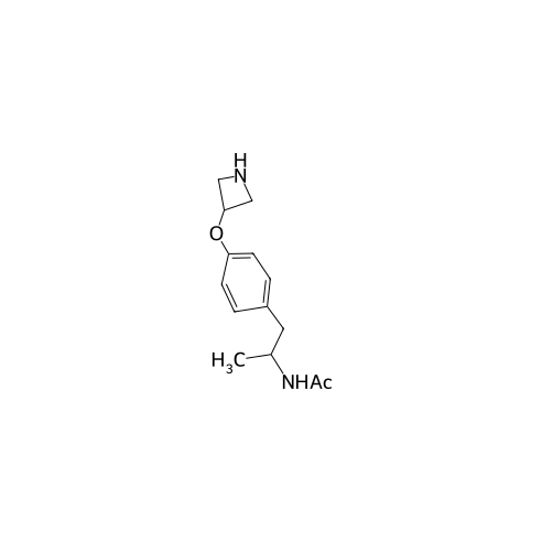 CC(=O)NC(C)Cc1ccc(OC2CNC2)cc1